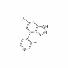 Fc1cnccc1-c1cc(C(F)(F)F)cc2[nH]ncc12